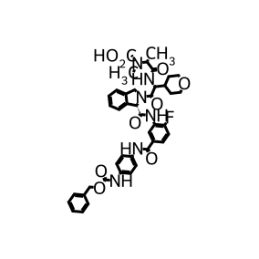 CC(C(=O)NC(C(=O)N1Cc2ccccc2[C@H]1C(=O)Nc1cc(C(=O)Nc2ccc(NC(=O)OCc3ccccc3)cc2)ccc1F)C1CCOCC1)N(C)C(=O)O